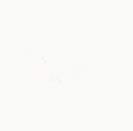 COC(=O)Oc1ccc(C(N)CC(=O)N2CCCc3cccc(O)c32)c(Cl)c1